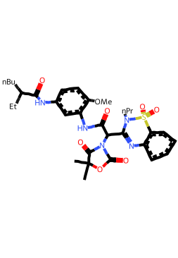 CCCCC(CC)C(=O)Nc1ccc(OC)c(NC(=O)C(C2=Nc3ccccc3S(=O)(=O)N2CCC)N2C(=O)OC(C)(C)C2=O)c1